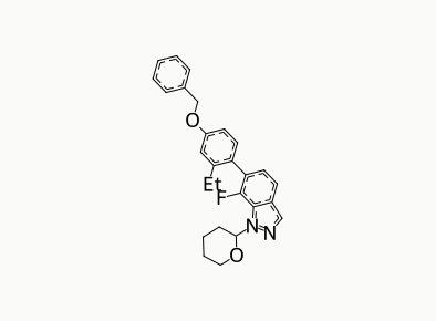 CCc1cc(OCc2ccccc2)ccc1-c1ccc2cnn(C3CCCCO3)c2c1F